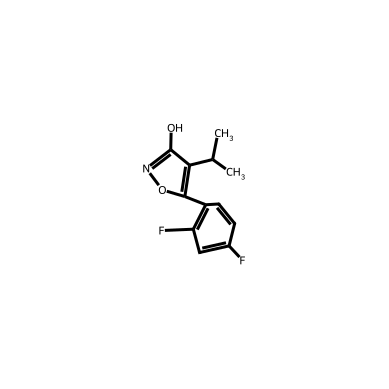 CC(C)c1c(O)noc1-c1ccc(F)cc1F